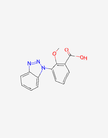 COc1c(C(=O)O)cccc1-n1nnc2ccccc21